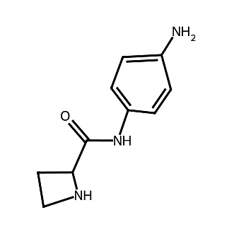 Nc1ccc(NC(=O)C2CCN2)cc1